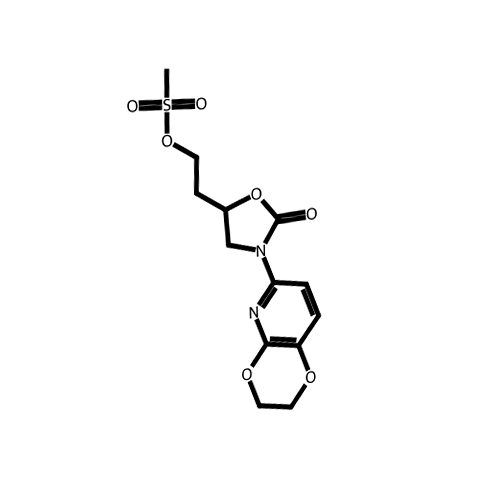 CS(=O)(=O)OCCC1CN(c2ccc3c(n2)OCCO3)C(=O)O1